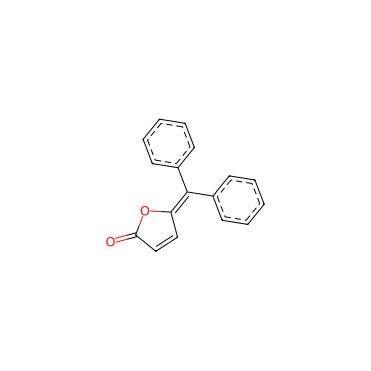 O=C1C=CC(=C(c2ccccc2)c2ccccc2)O1